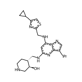 CC(C)c1cnn2c(NCc3nc(C4CC4)cs3)cc(NC[C@H]3CCNC[C@@H]3O)nc12